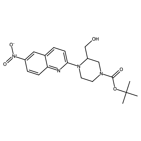 CC(C)(C)OC(=O)N1CCN(c2ccc3cc([N+](=O)[O-])ccc3n2)C(CO)C1